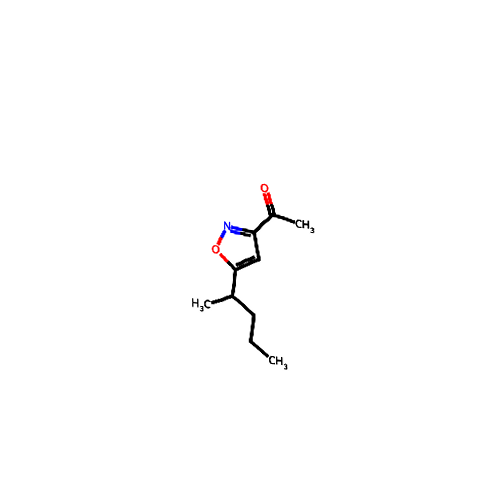 CCCC(C)c1cc(C(C)=O)no1